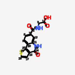 O=C(O)CNC(=O)c1ccc2c(c1)[nH]c(=O)c1ccsc12